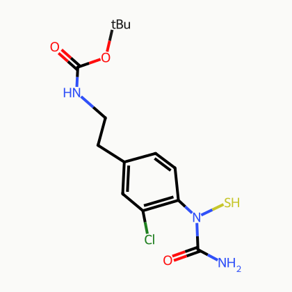 CC(C)(C)OC(=O)NCCc1ccc(N(S)C(N)=O)c(Cl)c1